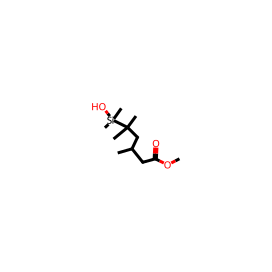 COC(=O)CC(C)CC(C)(C)[Si](C)(C)O